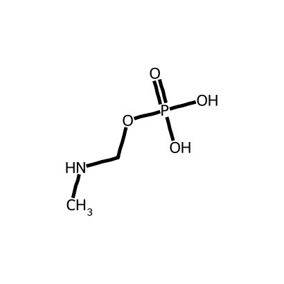 CNCOP(=O)(O)O